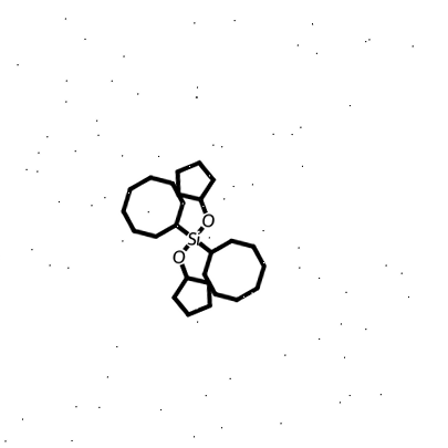 C1CCCC([Si](OC2CCCC2)(OC2CCCC2)C2CCCCCCC2)CCC1